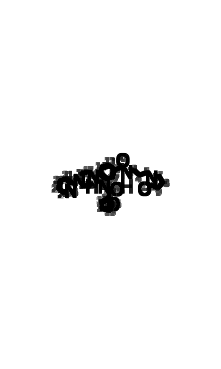 O=C(NCCCN1CCCC1=O)c1ccc(N2CCN(c3ccccn3)CC2)c(NC(=O)c2ccco2)c1